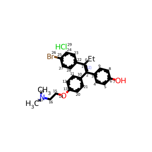 CC/C(=C(\c1ccc(O)cc1)c1ccc(OCCN(C)C)cc1)c1ccc(Br)cc1.Cl